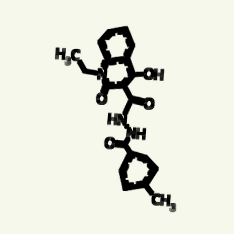 CCn1c(=O)c(C(=O)NNC(=O)c2ccc(C)cc2)c(O)c2ccccc21